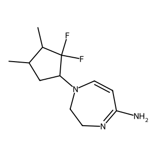 CC1CC(N2C=CC(N)=NCC2)C(F)(F)C1C